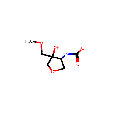 COCC1(O)COCC1NC(=O)O